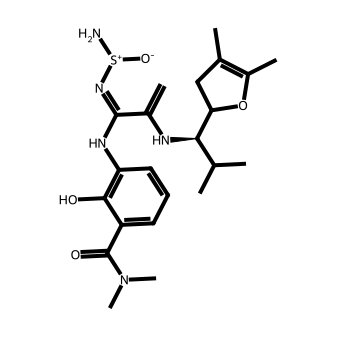 C=C(N[C@H](C(C)C)C1CC(C)=C(C)O1)/C(=N\[S+](N)[O-])Nc1cccc(C(=O)N(C)C)c1O